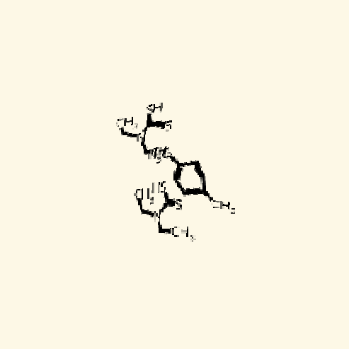 CCN(CC)C(=S)S.CCN(CC)C(=S)S.Cc1ccc(C)cc1